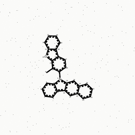 Cc1c(-n2c3ccccc3c3cc4ccccc4cc32)ccc2c1oc1ccccc12